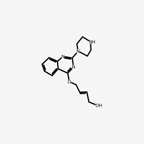 OC/C=C/COc1nc(N2CCNCC2)nc2ccccc12